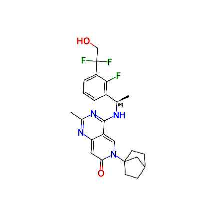 Cc1nc(N[C@H](C)c2cccc(C(F)(F)CO)c2F)c2cn(C34CCC(CC3)C4)c(=O)cc2n1